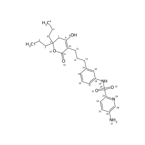 CCCC1(CCC)CC(O)=C(CCCc2cccc(NS(=O)(=O)c3ccc(N)cn3)c2)C(=O)O1